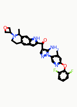 Cc1cc(Oc2c(F)cccc2F)ncc1-n1ncc(C(=O)c2cc3cc4c(cc3[nH]2)C(C)N(C2COC2)CC4)c1N